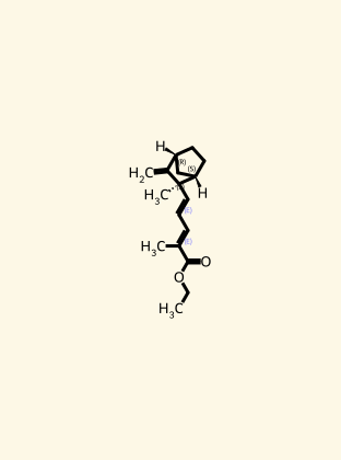 C=C1[C@@H]2CC[C@@H](C2)[C@@]1(C)/C=C/C=C(\C)C(=O)OCC